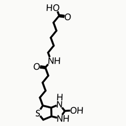 O=C(O)CCCCCNC(=O)CCCCC1SCC2NC(O)NC21